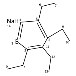 CCc1bcc(CC)c(CC)c1CC.[NaH]